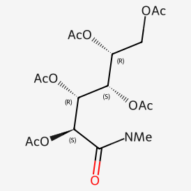 CNC(=O)[C@@H](OC(C)=O)[C@H](OC(C)=O)[C@@H](OC(C)=O)[C@@H](COC(C)=O)OC(C)=O